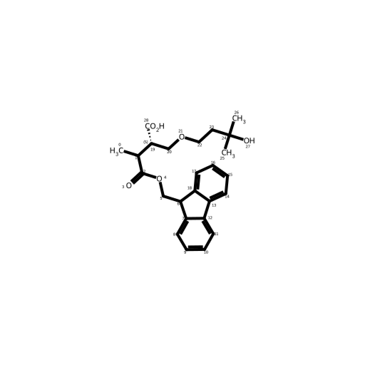 CC(C(=O)OCC1c2ccccc2-c2ccccc21)[C@@H](COCCC(C)(C)O)C(=O)O